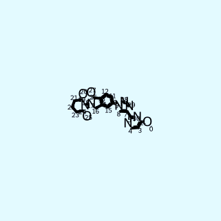 COc1ccnc(-c2cn(-c3ccc4c(c3)CN(N3C(=O)CCCC3=O)C4=O)nn2)n1